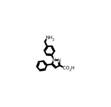 NCc1ccc(-n2nc(C(=O)O)cc2-c2ccccc2)cc1